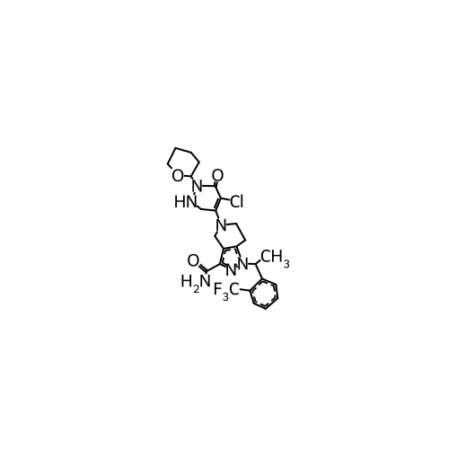 CC(c1ccccc1C(F)(F)F)n1nc(C(N)=O)c2c1CCN(C1=C(Cl)C(=O)N(C3CCCCO3)NC1)C2